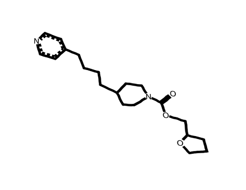 O=C(OCC1CCCO1)N1CCC(CCCCc2ccncc2)CC1